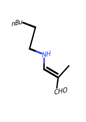 CCCCCCNC=C(C)C=O